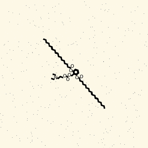 CCCCCC=CCC=CCCCCCCCC(=O)Oc1cccc(OC(=O)CCCCCCCC=CCC=CCCCCC)c1COC(=O)OCCCN(CC)CC